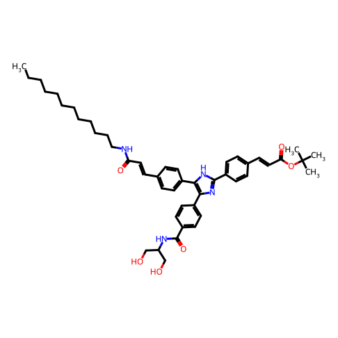 CCCCCCCCCCCCNC(=O)C=Cc1ccc(-c2[nH]c(-c3ccc(C=CC(=O)OC(C)(C)C)cc3)nc2-c2ccc(C(=O)NC(CO)CO)cc2)cc1